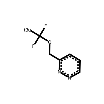 CC(C)(C)C(F)(F)OCc1cccnn1